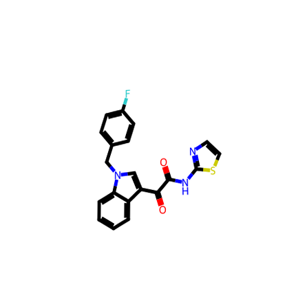 O=C(Nc1nccs1)C(=O)c1cn(Cc2ccc(F)cc2)c2ccccc12